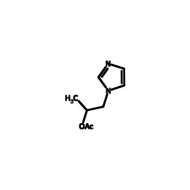 CC(=O)OC(C)Cn1ccnc1